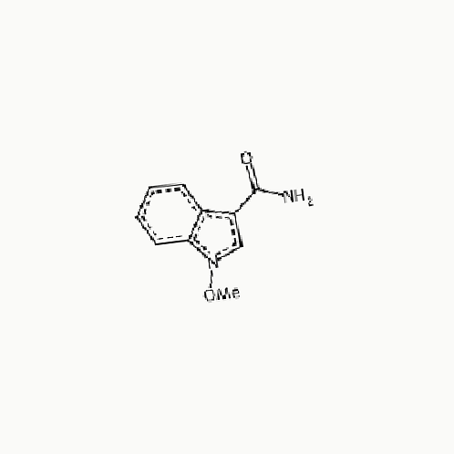 COn1cc(C(N)=O)c2ccccc21